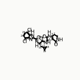 NC(=O)[C@H](C[C@@H]1CCCNC1=O)NC(=O)[C@H](CC1CC1)NC(=O)c1nc2c(Cl)ccc(Cl)c2[nH]1